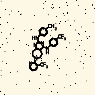 Cc1ccc(Nc2nc3c(c(Nc4ccc(C(F)(F)F)cc4)n2)CCN(c2ncccc2C(F)(F)F)CC3)cc1